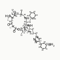 B[C@@H]1[C@@H](C)C(=O)[C@@H](C)C(=O)O[C@H](CC)[C@@](C)(OC#C)[C@H](NCCCCn2cc(-c3cccc(N)c3)nn2)[C@@H](Cc2ccccc2)NC[C@H](C)C[C@@]1(C)OC